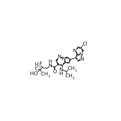 CC(C)Nc1c(C(=O)NCC(F)C(C)(C)O)cnn2cc(-c3cnn4cc(Cl)cnc34)cc12